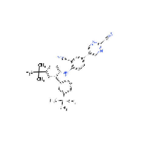 CC(C)(C)c1ccc2c(c1)c1cc(C(C)(C)C)ccc1n2-c1ccc(-c2cnc(C#N)nc2)cc1C#N